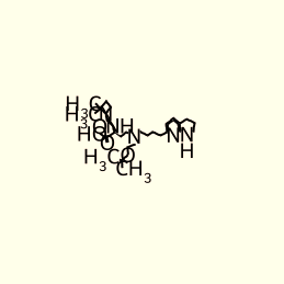 CC(C)OCCN(CCCCc1ccc2c(n1)NCCC2)CC[C@H](NC(=O)N1CCC1(C)C)C(=O)O